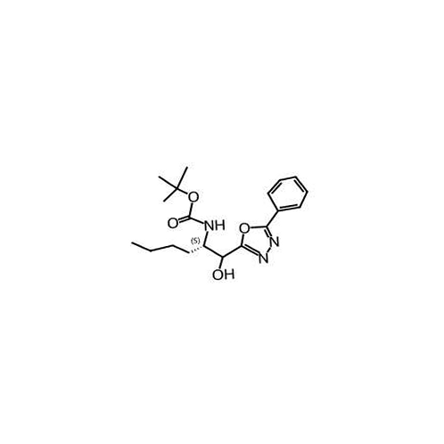 CCCC[C@H](NC(=O)OC(C)(C)C)C(O)c1nnc(-c2ccccc2)o1